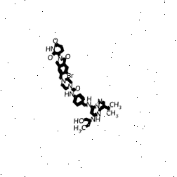 CCC(CO)Nc1cc(NCc2ccc(NC(=O)N3CCN(Cc4cc5c(cc4Br)C(=O)N(C4CCC(=O)NC4=O)C5)CC3)cc2)n2ncc(C(C)C)c2n1